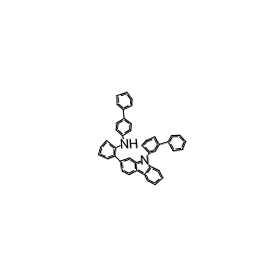 c1ccc(-c2ccc(Nc3ccccc3-c3ccc4c5ccccc5n(-c5cccc(-c6ccccc6)c5)c4c3)cc2)cc1